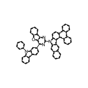 c1ccc(-n2c3ccccc3c3ccc(-c4nc(-n5c6cc7ccccc7cc6c6c7c8ccccc8c8ccccc8c7ccc65)nc5c4oc4ccccc45)cc32)cc1